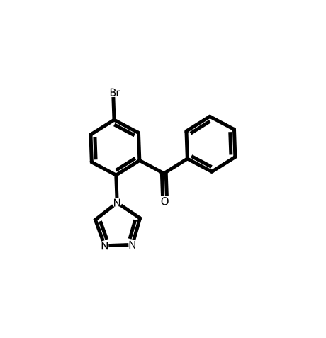 O=C(c1ccccc1)c1cc(Br)ccc1-n1cnnc1